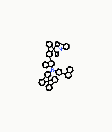 c1ccc2c(c1)-c1ccccc1C21c2ccccc2-c2ccc(N(c3ccc(-c4cccc5ccccc45)cc3)c3ccc(-c4ccc5c(c4)C4(c6ccccc6-5)c5ccccc5-n5c6ccccc6c6cccc4c65)c4ccccc34)cc21